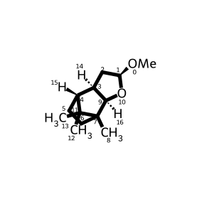 CO[C@@H]1C[C@@H]2[C@H]3CCC(C)([C@@H]2O1)C3(C)C